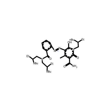 CCCCC(CC)CN(CC(CC)CCCC)C(=O)c1ccccc1/N=N/c1c(C)c(C(N)=O)c(=O)n(CC(CC)CCCC)c1O